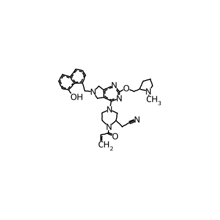 C=CC(=O)N1CCN(c2nc(OCC3CCCN3C)nc3c2CN(Cc2cccc4cccc(O)c24)C3)CC1CC#N